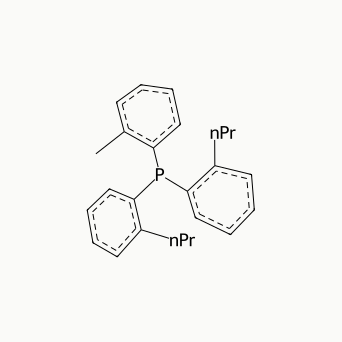 CCCc1ccccc1P(c1ccccc1C)c1ccccc1CCC